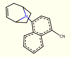 N#Cc1ccc(N2C3C=CCC2CC3)c2ccccc12